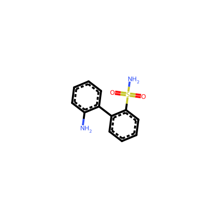 Nc1ccccc1-c1ccccc1S(N)(=O)=O